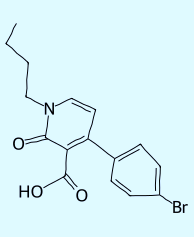 CCCCn1ccc(-c2ccc(Br)cc2)c(C(=O)O)c1=O